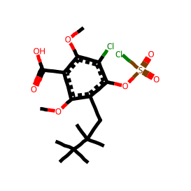 COc1c(Cl)c(OS(=O)(=O)Cl)c(CC(C)(C)C(C)(C)C)c(OC)c1C(=O)O